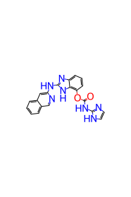 O=C(Nc1ncc[nH]1)Oc1cccc2nc(Nc3cc4ccccc4cn3)[nH]c12